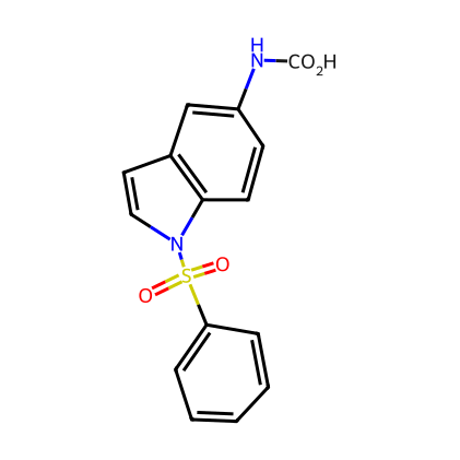 O=C(O)Nc1ccc2c(ccn2S(=O)(=O)c2ccccc2)c1